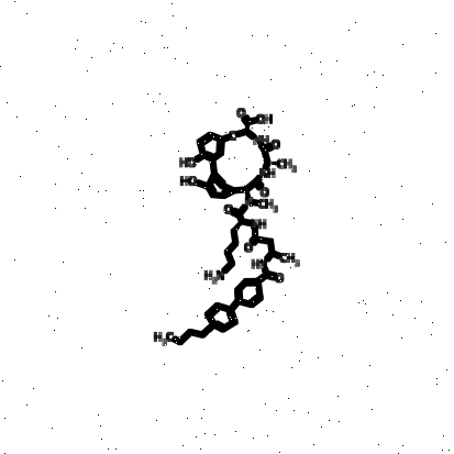 CCCCc1ccc(-c2ccc(C(=O)NC(C)CC(=O)N[C@@H](CCCCN)C(=O)N(C)[C@@H]3C(=O)N[C@@H](C)C(=O)N[C@H](C(=O)O)Cc4ccc(O)c(c4)-c4cc3ccc4O)cc2)cc1